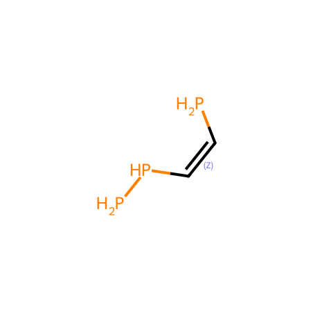 P/C=C\PP